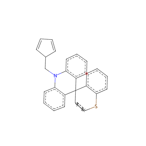 C1=CC(CN2c3ccccc3C3(c4ccccc4Sc4ccccc43)c3ccccc32)C=C1